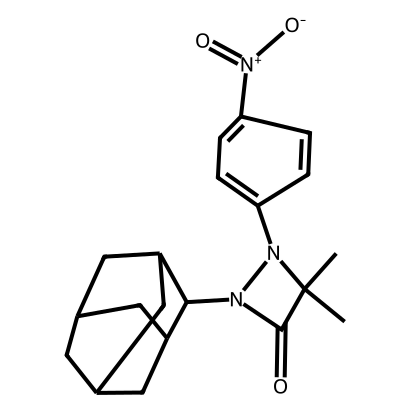 CC1(C)C(=O)N(C2C3CC4CC(C3)CC2C4)N1c1ccc([N+](=O)[O-])cc1